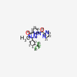 Cn1c(-c2cccc(C(F)(F)F)c2)nc2c(NC(=O)c3ncccn3)cccc2c1=O